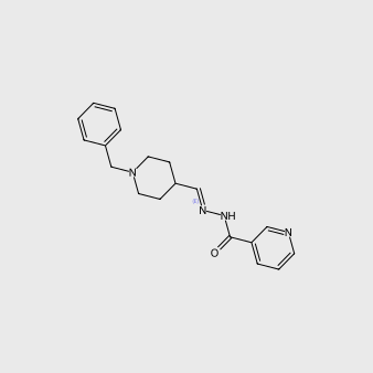 O=C(N/N=C/C1CCN(Cc2ccccc2)CC1)c1cccnc1